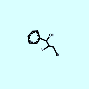 OC(c1ccccc1)C(Br)CBr